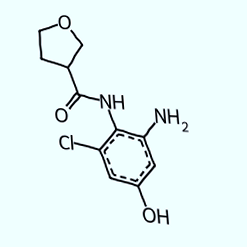 Nc1cc(O)cc(Cl)c1NC(=O)C1CCOC1